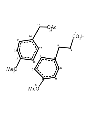 COc1ccc(CCC(=O)O)cc1.COc1ccc(COC(C)=O)cc1